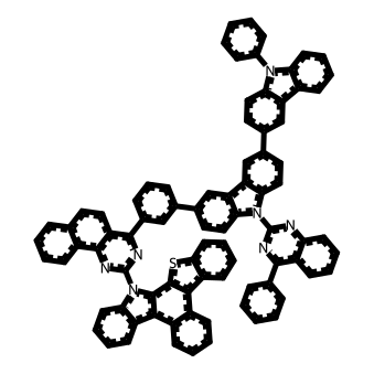 c1ccc(-c2nc(-n3c4ccc(-c5cccc(-c6nc(-n7c8ccccc8c8c9ccccc9c9c%10ccccc%10sc9c87)nc7c6ccc6ccccc67)c5)cc4c4cc(-c5ccc6c(c5)c5ccccc5n6-c5ccccc5)ccc43)nc3ccccc23)cc1